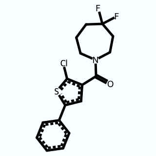 O=C(c1cc(-c2ccccc2)sc1Cl)N1CCCC(F)(F)CC1